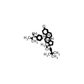 CO[C@@]1(C#CC(C)(C)C)CC[C@H]2[C@@H]3CCC4=CC(=O)CC[C@@H]4[C@H]3[C@@H](c3ccc(N(C)C(C)C)cc3)C[C@@]21C